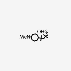 CNC1CCCC(C(C)(C)CC(C)(C)SC=O)CCC1